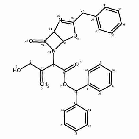 C=C(CO)C(C(=O)OC(c1ccccc1)c1ccccc1)N1C(=O)C2N=C(Cc3ccccc3)OC21